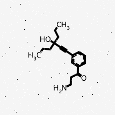 CCCC(O)(C#Cc1cccc(C(=O)CCN)c1)CCC